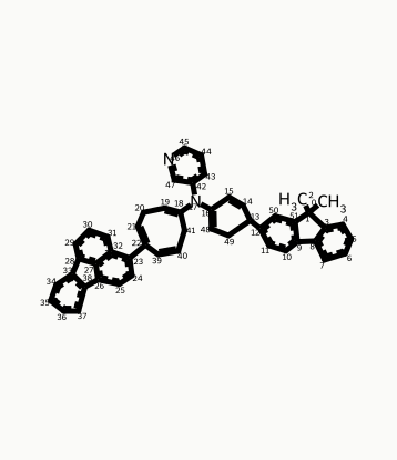 CC1(C)c2ccccc2-c2ccc(C3C=CC(N(/C4=C/C/C=C(c5ccc6c7c(cccc57)-c5ccccc5-6)\C=C/C4)c4cccnc4)=CC3)cc21